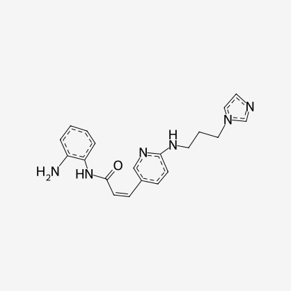 Nc1ccccc1NC(=O)/C=C\c1ccc(NCCCn2ccnc2)nc1